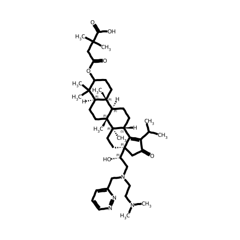 CC(C)C1=C2[C@H]3CC[C@@H]4[C@@]5(C)CCC(OC(=O)CC(C)(C)C(=O)O)C(C)(C)[C@@H]5CC[C@@]4(C)[C@]3(C)CC[C@@]2([C@@H](O)CN(CCN(C)C)Cc2cccnn2)CC1=O